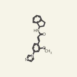 COc1cc(-n2ccnc2)ccc1C=CC(=O)NC1CCc2ccccc21